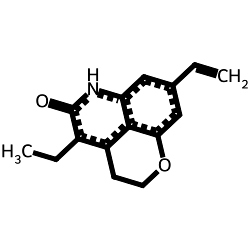 C=Cc1cc2c3c(c(CC)c(=O)[nH]c3c1)CCO2